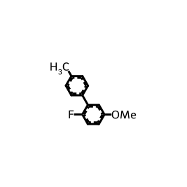 COc1ccc(F)c(-c2ccc(C)cc2)c1